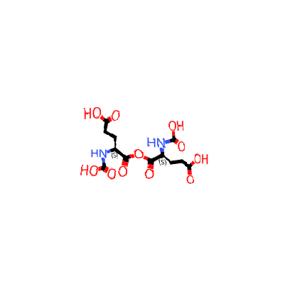 O=C(O)CC[C@H](NC(=O)O)C(=O)OC(=O)[C@H](CCC(=O)O)NC(=O)O